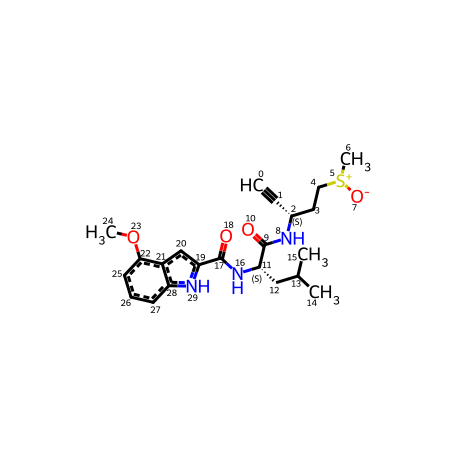 C#C[C@H](CC[S+](C)[O-])NC(=O)[C@H](CC(C)C)NC(=O)c1cc2c(OC)cccc2[nH]1